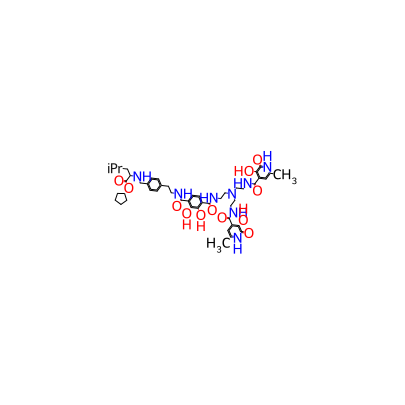 Cc1cc(C(=O)NCCN(CCNC(=O)c2ccc(C(=O)NCCc3ccc(CNC(CC(C)C)C(=O)OC4CCCC4)cc3)c(O)c2O)CCNC(=O)c2cc(C)[nH]c(=O)c2O)c(O)c(=O)[nH]1